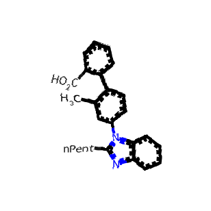 CCCCCc1nc2ccccc2n1-c1ccc(-c2ccccc2C(=O)O)c(C)c1